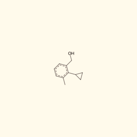 Cc1cccc(CO)c1C1CC1